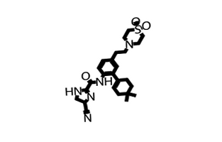 CC1(C)CC=C(c2cc(CCN3CCS(=O)(=O)CC3)ccc2NC(=O)C2=NC(C#N)CN2)CC1